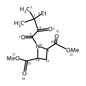 CCC(C)(C)C(=O)C(=O)N1C(C(=O)OC)CC1C(=O)OC